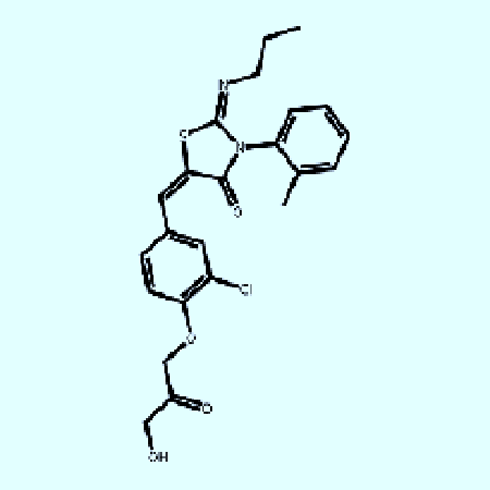 CCC/N=C1/SC(=Cc2ccc(OCC(=O)CO)c(Cl)c2)C(=O)N1c1ccccc1C